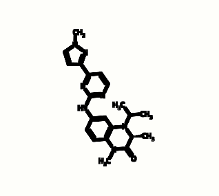 CC(C)N1c2cc(Nc3nccc(-c4ccn(C)n4)n3)ccc2N(C)C(=O)[C@H]1C